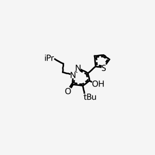 CC(C)CCn1nc(-c2cccs2)c(O)c(C(C)(C)C)c1=O